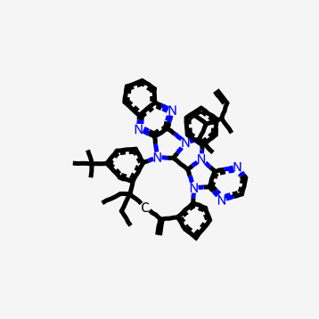 C=CC(C)C(C)C(C)N1c2nc3ccccc3nc2N2c3ccc(C(C)(C)C)cc3C(CC)(CC)CC(=C)c3ccccc3N3c4nccnc4N(c4ccccc4)C3C21